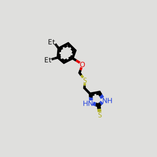 CCc1ccc(OCSCc2c[nH]c(=S)[nH]2)cc1CC